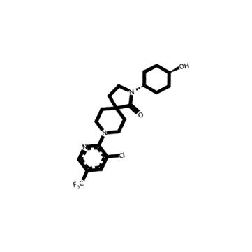 O=C1N([C@H]2CC[C@H](O)CC2)CCC12CCN(c1ncc(C(F)(F)F)cc1Cl)CC2